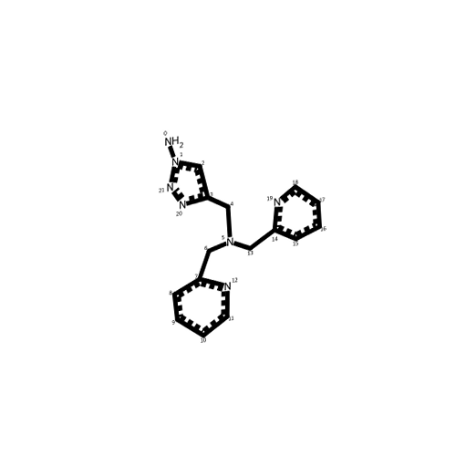 Nn1cc(CN(Cc2ccccn2)Cc2ccccn2)nn1